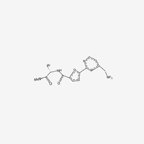 CNC(=O)[C@@H](NC(=O)c1ccc(-c2cc(CN)ccn2)o1)C(C)C